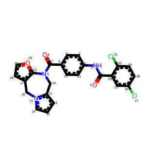 O=C(Nc1ccc(C(=O)N2Cc3cccn3Cc3ccoc32)cc1)c1cc(Cl)ccc1Cl